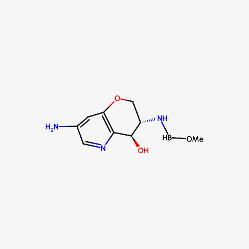 COBN[C@H]1COc2cc(N)cnc2[C@@H]1O